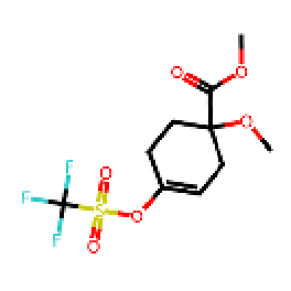 COC(=O)C1(OC)CC=C(OS(=O)(=O)C(F)(F)F)CC1